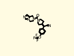 N#CC(=C1CCN(C(=O)N2CCn3cncc3C2)CC1)c1ccc(OC(F)(F)F)cc1